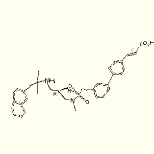 CN(C[C@H](O)CNC(C)(C)Cc1ccc2ccccc2c1)S(=O)(=O)Cc1cccc(-c2ccc(/C=C/C(=O)O)cc2)c1